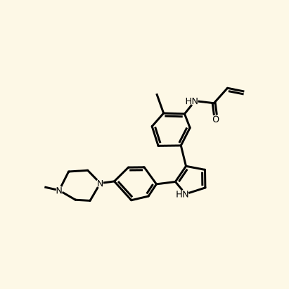 C=CC(=O)Nc1cc(-c2cc[nH]c2-c2ccc(N3CCN(C)CC3)cc2)ccc1C